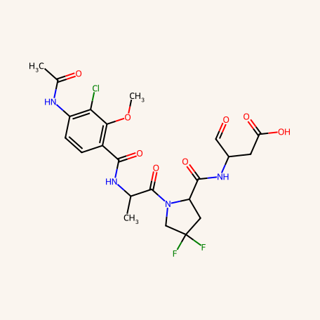 COc1c(C(=O)NC(C)C(=O)N2CC(F)(F)CC2C(=O)NC(C=O)CC(=O)O)ccc(NC(C)=O)c1Cl